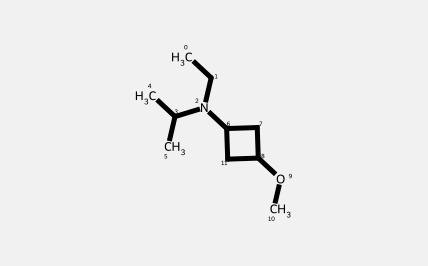 CCN(C(C)C)C1CC(OC)C1